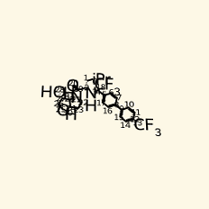 CC(C)C[C@H](N[C@@H](c1ccc(-c2ccc(C(F)(F)F)cc2)cc1)C(F)(F)F)C(=O)N1CC[C@H]2OC[C@H](O)[C@H]21